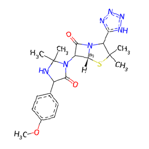 COc1ccc(C2NC(C)(C)N(C3C(=O)N4C(c5nnn[nH]5)C(C)(C)S[C@H]34)C2=O)cc1